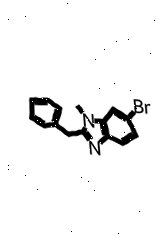 Cn1c(Cc2ccccc2)nc2ccc(Br)cc21